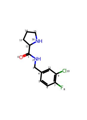 O=C(NCc1ccc(F)c(Cl)c1)C1CCCN1